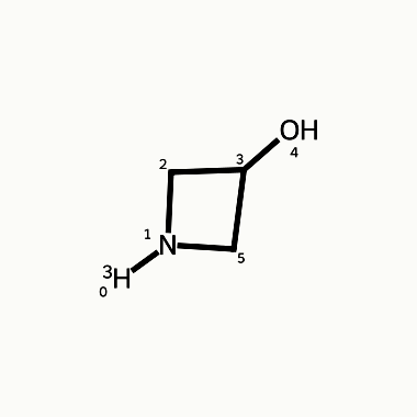 [3H]N1CC(O)C1